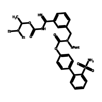 CCCCCN(Cc1cccc(C(=N)NC(=O)OC(C)N(CC)CC)c1)C(=O)Oc1ccc(-c2ccccc2S(N)(=O)=O)cc1